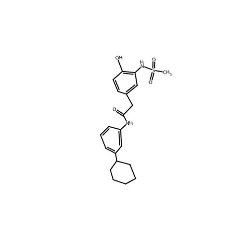 CS(=O)(=O)Nc1cc(CC(=O)Nc2cccc(C3CCCCC3)c2)ccc1O